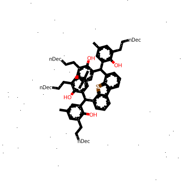 CCCCCCCCCCCCc1cc(C)cc(C(c2cc(C)cc(CCCCCCCCCCCC)c2O)c2cccc3c2sc2c(C(c4cc(C)cc(CCCCCCCCCCCC)c4O)c4cc(C)cc(CCCCCCCCCCCC)c4O)cccc23)c1O